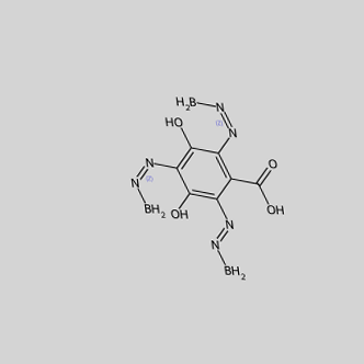 BN=Nc1c(O)c(/N=N\B)c(O)c(/N=N\B)c1C(=O)O